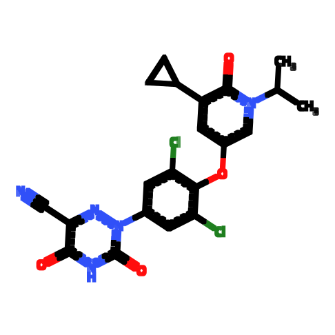 CC(C)n1cc(Oc2c(Cl)cc(-n3nc(C#N)c(=O)[nH]c3=O)cc2Cl)cc(C2CC2)c1=O